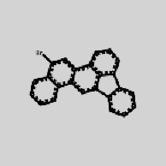 Brc1cc2c3cccc4c3c(cc2c2ccccc12)-c1ccccc1-4